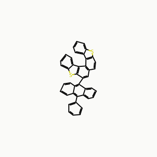 c1ccc(-c2c3ccccc3c(-c3cc4ccc5sc6ccccc6c5c4c4c3sc3ccccc34)c3ccccc23)cc1